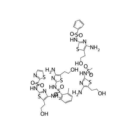 CS(=O)(=O)Nc1nc(N)c(CCO)s1.Cc1ccccc1S(=O)(=O)Nc1nc(N)c(CCO)s1.Nc1nc(NS(=O)(=O)c2ccccc2)sc1CCO.Nc1nc(NS(=O)(=O)c2nccs2)sc1CCO